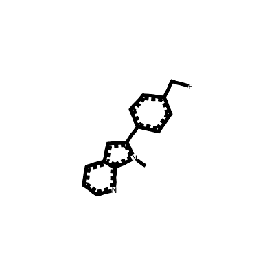 Cn1c(-c2ccc(CF)cc2)cc2cccnc21